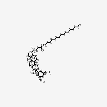 CCCCCCCCCCCCCCCCOC(=O)CC[C@@H](C)[C@H]1CC[C@H]2[C@@H]3CCC4CC(OC)(c5cc(N)cc(N)c5)CC[C@]4(C)[C@H]3CC[C@]12C